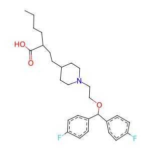 CCCCC(CCC1CCN(CCOC(c2ccc(F)cc2)c2ccc(F)cc2)CC1)C(=O)O